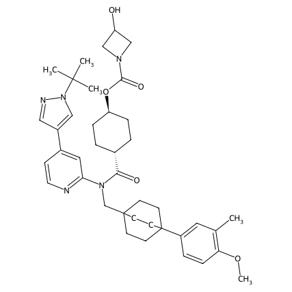 COc1ccc(C23CCC(CN(c4cc(-c5cnn(C(C)(C)C)c5)ccn4)C(=O)[C@H]4CC[C@H](OC(=O)N5CC(O)C5)CC4)(CC2)CC3)cc1C